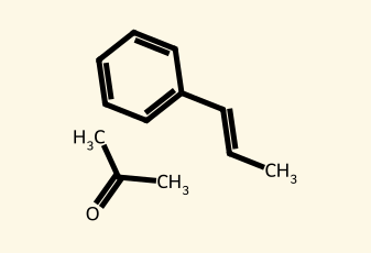 CC(C)=O.CC=Cc1ccccc1